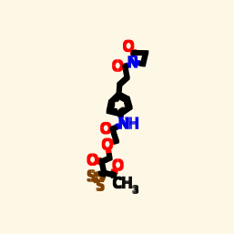 CC(=O)C1(C(=O)COCC(=O)Nc2ccc(CCC(=O)N3CCC3=O)cc2)SS1